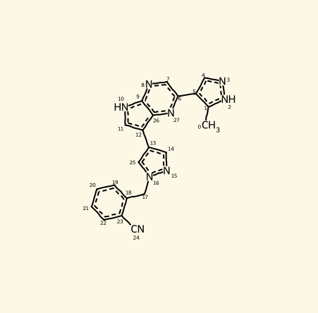 Cc1[nH]ncc1-c1cnc2[nH]cc(-c3cnn(Cc4ccccc4C#N)c3)c2n1